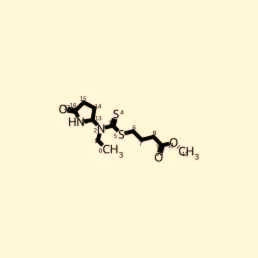 CCN(C(=S)SCCCC(=O)OC)C1CCC(=O)N1